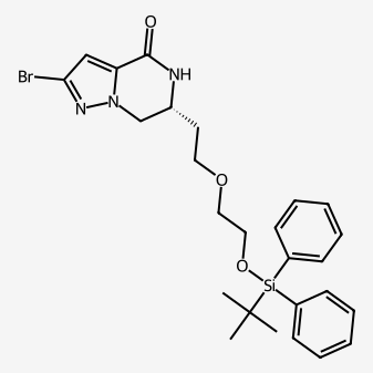 CC(C)(C)[Si](OCCOCC[C@@H]1Cn2nc(Br)cc2C(=O)N1)(c1ccccc1)c1ccccc1